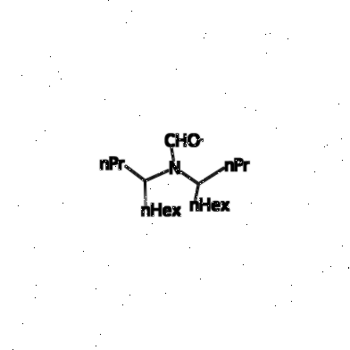 CCCCCCC(CCC)N([C]=O)C(CCC)CCCCCC